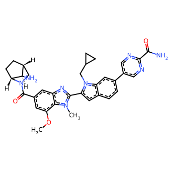 COc1cc(C(=O)N2C[C@H]3CC[C@@H]2[C@@H]3N)cc2nc(-c3cc4ccc(-c5cnc(C(N)=O)nc5)cc4n3CC3CC3)n(C)c12